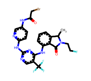 CC1c2cccc(Nc3nc(Nc4ccc(NC(=O)CBr)cn4)ncc3C(F)(F)F)c2C(=O)N1CCF